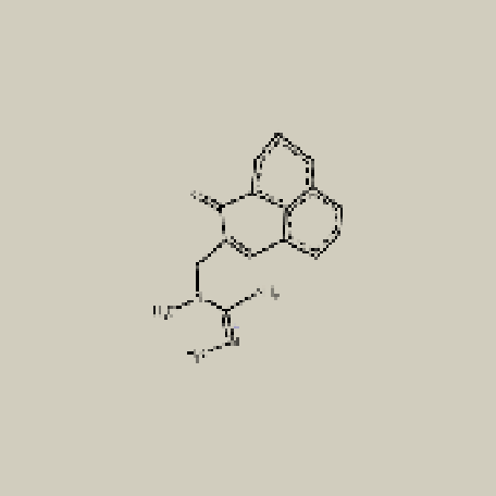 C/N=C(/N)N(C)CC1=Cc2cccc3cccc(c23)C1=O